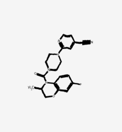 CC1COc2cc(F)ccc2N1C(=O)N1CCN(c2cc(C#N)ccn2)CC1